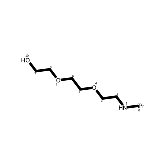 [CH2]C(C)NCCOCCOCCO